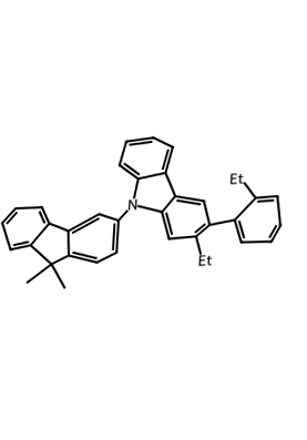 CCc1ccccc1-c1cc2c3ccccc3n(-c3ccc4c(c3)-c3ccccc3C4(C)C)c2cc1CC